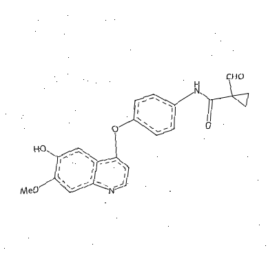 COc1cc2nccc(Oc3ccc(NC(=O)C4(C=O)CC4)cc3)c2cc1O